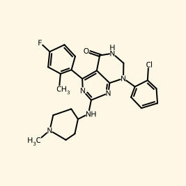 Cc1cc(F)ccc1-c1nc(NC2CCN(C)CC2)nc2c1C(=O)NCN2c1ccccc1Cl